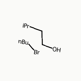 CC(C)CCO.CCCCBr